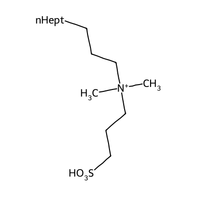 CCCCCCCCCC[N+](C)(C)CCCS(=O)(=O)O